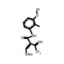 CN/C=C(\C(=N)C(F)(F)F)C(=O)Nc1cccc(OC(C)C)c1C